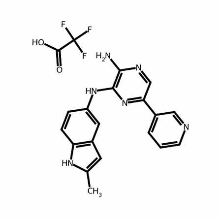 Cc1cc2cc(Nc3nc(-c4cccnc4)cnc3N)ccc2[nH]1.O=C(O)C(F)(F)F